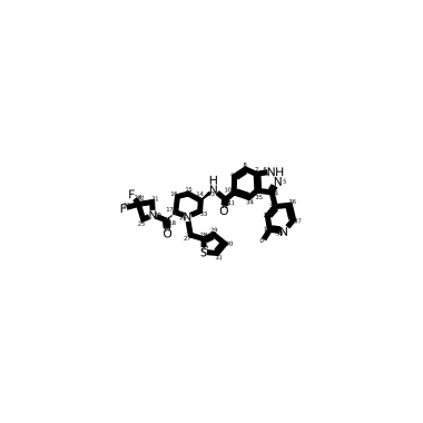 Cc1cc(-c2n[nH]c3ccc(C(=O)N[C@@H]4CC[C@@H](C(=O)N5CC(F)(F)C5)N(Cc5cccs5)C4)cc23)ccn1